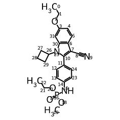 CCOc1ccc2c(C#N)c(-c3ccc(NP(=O)(OC)OCC)cc3)n(C3CCC3)c2c1